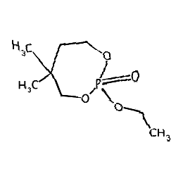 CCOP1(=O)OCCC(C)(C)CO1